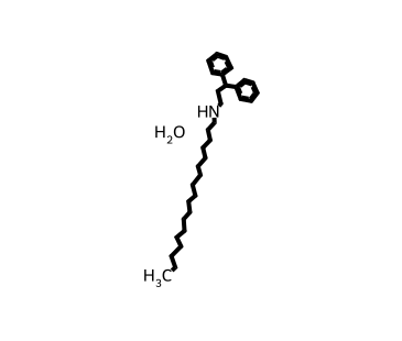 CCCCCCCCCCCCCCCCCCNCCC(c1ccccc1)c1ccccc1.O